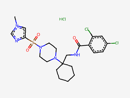 Cl.Cn1cnc(S(=O)(=O)N2CCN(C3(CNC(=O)c4ccc(Cl)cc4Cl)CCCCC3)CC2)c1